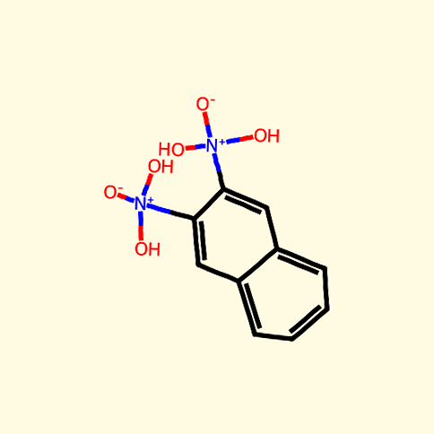 [O-][N+](O)(O)c1cc2ccccc2cc1[N+]([O-])(O)O